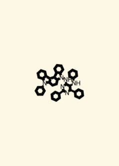 c1ccc(Nc2c(Nn3c4ccccc4c4c5c6ccccc6n(-c6ccccc6)c5ccc43)nc(-c3ccccc3)nc2-c2ccccc2)cc1